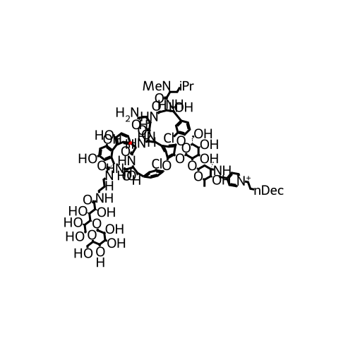 CCCCCCCCCCCC[n+]1ccc(CN[C@]2(C)C[C@H](OC3C(O)[C@@H](O)[C@@H](CO)O[C@@H]3Oc3c4cc5cc3Oc3ccc(cc3Cl)[C@@H](O)[C@@H](NC(=O)[C@@H](CC(C)C)NC)C(=O)N[C@@H](CC(N)=O)C(=O)N[C@H]5C(=O)N[C@H]3C(=O)N[C@H](C(=O)N[C@H](C(=O)NCCCNC(=O)[C@H](O)[C@@H](O)[C@H](OC5OC(CO)C(O)C(O)C5O)[C@H](O)CO)c5cc(O)cc(O)c5-c5cc3ccc5O)[C@H](O)c3ccc(c(Cl)c3)O4)OC(C)[C@@H]2O)cc1